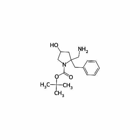 CC(C)(C)OC(=O)N1CC(O)CC1(CN)Cc1ccccc1